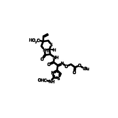 C=CC1(C(=O)O)CS[C@@H]2C(NC(=O)C(=NOCC(=O)OC(C)(C)C)c3csc(NC=O)n3)C(=O)N2C1